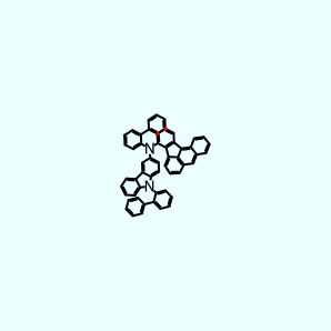 c1ccc(-c2ccccc2N(c2ccc3c(c2)c2ccccc2n3-c2ccccc2-c2ccccc2)c2cccc3c2-c2cccc4cc5ccccc5c-3c24)cc1